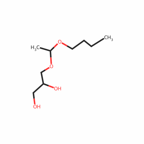 CCCCOC(C)OCC(O)CO